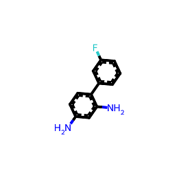 Nc1ccc(-c2cccc(F)c2)c(N)c1